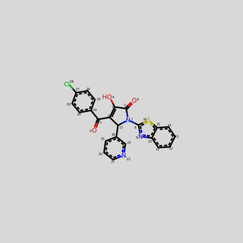 O=C(C1=C(O)C(=O)N(c2nc3ccccc3s2)C1c1cccnc1)c1ccc(Cl)cc1